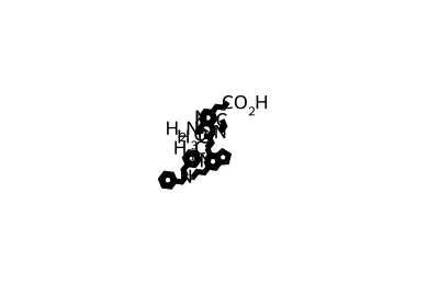 C/C=N\C(=C(\C)C=C(C)c1nc(CCCN(Cc2ccccc2)Cc2ccccc2)cc2c1CCC2)c1cc(CCC(=O)O)cnc1C(N)=O